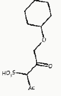 CC(=O)C(C(=O)COC1CCCCC1)S(=O)(=O)O